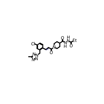 CCC(=O)NNC(=O)C1CCN(C(=O)/C=C/c2ccc(Cl)cc2Cn2nnc(C)n2)CC1